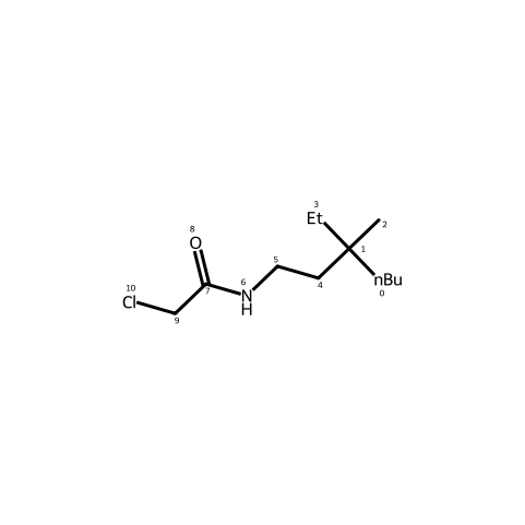 CCCCC(C)(CC)CCNC(=O)CCl